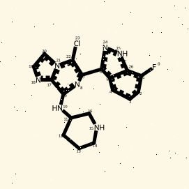 Fc1cccc2c(-c3nc(NC4CCCNC4)c4nccn4c3Cl)n[nH]c12